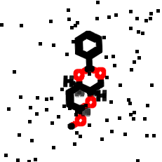 CO[C@@H]1C=C[C@H]2OC(c3ccccc3)OC[C@H]2O1